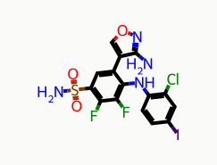 Nc1nocc1-c1cc(S(N)(=O)=O)c(F)c(F)c1Nc1ccc(I)cc1Cl